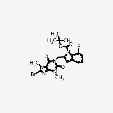 Cn1c(Br)nc2c1c(=O)n(Cc1cc3cccc(F)c3n1C(=O)OC(C)(C)C)c(=O)n2C